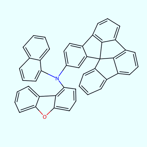 c1ccc2c(c1)-c1cccc3c1C21c2cc(N(c4cccc5ccccc45)c4cccc5oc6ccccc6c45)ccc2-c2cccc-3c21